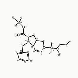 CCCC(F)[Si](C)(C)OC[C@@H]1C[C@H](C(=O)OC(C)(C)C)N(Cc2ccccc2)[C@H]1C=O